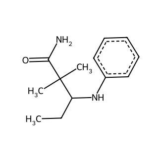 CCC(Nc1ccccc1)C(C)(C)C(N)=O